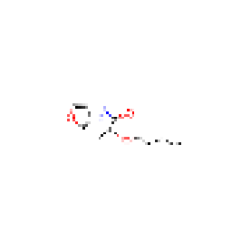 CCCCCOC(C)C(N)=O.c1ccoc1